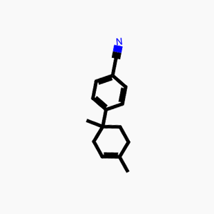 CC1=CCC(C)(c2ccc(C#N)cc2)CC1